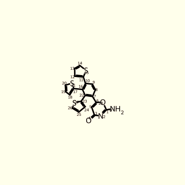 Nc1nc(=O)cc(-c2ccc(-c3cccs3)c(-c3cccs3)c2-c2cccs2)o1